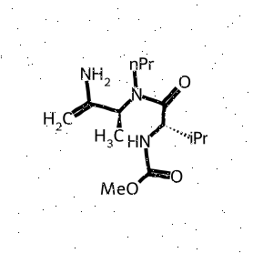 C=C(N)[C@H](C)N(CCC)C(=O)[C@@H](NC(=O)OC)C(C)C